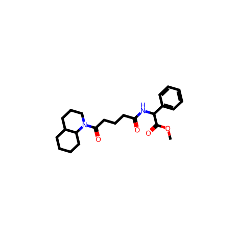 COC(=O)C(NC(=O)CCCC(=O)N1CCCC2CCCCC21)c1ccccc1